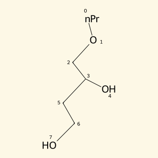 CCCOCC(O)CCO